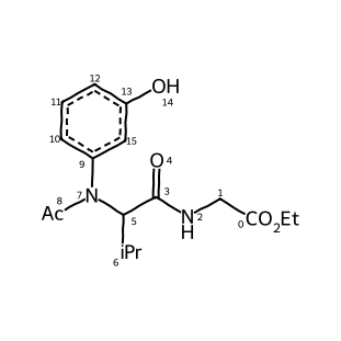 CCOC(=O)CNC(=O)C(C(C)C)N(C(C)=O)c1cccc(O)c1